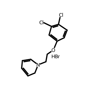 Br.Clc1ccc(OCCN2C=CC=CC2)cc1Cl